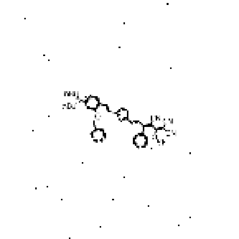 CCCCN(CCCC)c1ccc(/C=C/c2ccc(/C=C/C(=C(\C#N)C(OC(F)(F)F)=C(C#N)C#N)c3ccccc3)s2)c(OCc2ccccc2)c1